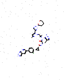 Cn1cc(C[C@@H](NC(=O)[C@H]2C[C@@H]2c2ccc(-c3cnc4nn(C)cc4c3)cc2F)C(=O)NC(C)(C)Cn2nc(C(F)(F)F)cc2-c2cnn(C3CCCCO3)n2)cn1